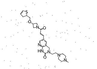 CN1CCN(CCN2Cc3cc(/C=C/C(=O)N4CC(OCC5CC=CS5)C4)cnc3NC2=O)CC1